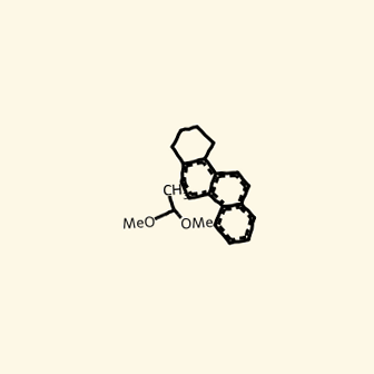 COC(C)OC.c1ccc2c(c1)ccc1c3c(ccc12)CCCC3